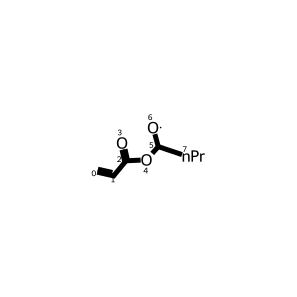 C=CC(=O)OC([O])CCC